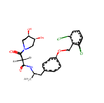 CCC(CC)(C(=O)N[C@@H](Cc1ccc(OCc2c(Cl)cccc2Cl)cc1)C(=O)O)C(=O)N1C[C@@H](O)[C@@H](O)C1